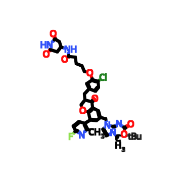 Cc1nc(F)ccc1-c1cc(Cn2ccn(C)c2=NC(=O)OC(C)(C)C)cc2c1OCC(Cc1ccc(Cl)c(OCCCCC(=O)NC3CC(=O)NC(=O)C3)c1)C2=O